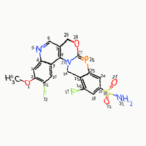 COc1cc2ncc3c(c2cc1F)N1Cc2c(F)cc(S(N)(=O)=O)cc2P=C1OC3